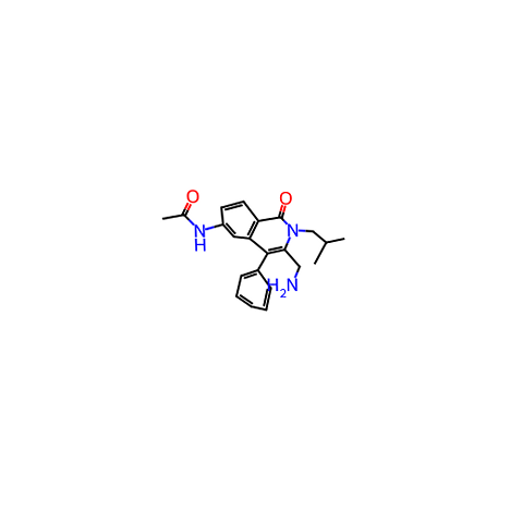 CC(=O)Nc1ccc2c(=O)n(CC(C)C)c(CN)c(-c3ccccc3)c2c1